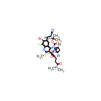 CSc1nc2c(F)c(Br)c(CCC#N)cc2c(N(C(=O)OC(C)(C)C)[C@H]2[C@@H]3C[C@H]2N(C(=O)O)C3)c1C#CCCC(=O)N(C)C